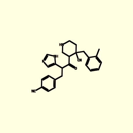 Cc1ccccc1CC1(C#N)CCNCC1C(=O)C(Cc1ccc(C#N)cc1)c1cnc[nH]1